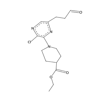 CCOC(=O)C1CCN(c2nc(CCC=O)cnc2Cl)CC1